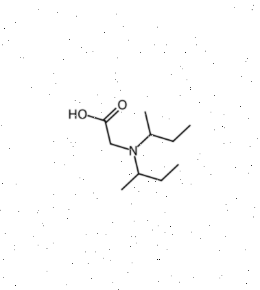 CCC(C)N(CC(=O)O)C(C)CC